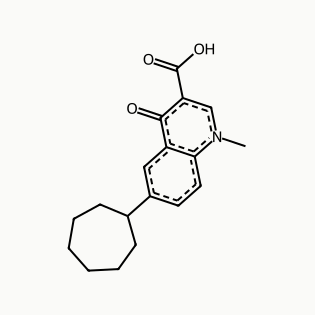 Cn1cc(C(=O)O)c(=O)c2cc(C3CCCCCC3)ccc21